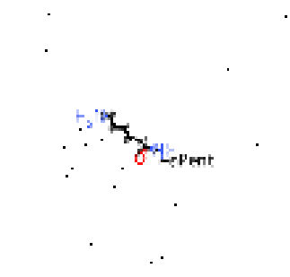 CCCCCCNC(=O)CCCCCN